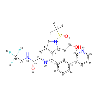 CC(C)(C)[S@@+]([O-])N1Cc2cc(C(=O)NCC(F)(F)F)nc(-c3cccc(-c4cccnc4)c3)c2C1CCO